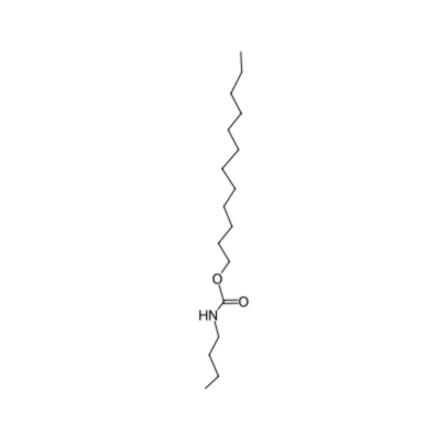 CCCCCCCCCCCCOC(=O)NCCCC